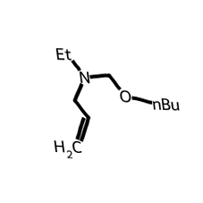 C=CCN(CC)COCCCC